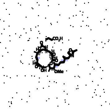 CO[C@@H](/C(C)=C/C=C/C(C)=C/c1coc(C)n1)[C@@H](C)[C@@H]1C[C@H](O)[C@@]2(C)O[C@@H]2/C=C/[C@@H](C)[C@H]2C[C@H](CC(=O)O2)C[C@@H]2O[C@H]2C(=O)O1.O=C(O)CCI